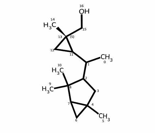 CC(C1CC2(C)CC2C1(C)C)C1C[C@]1(C)CO